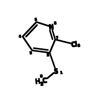 CSc1cccnc1Cl